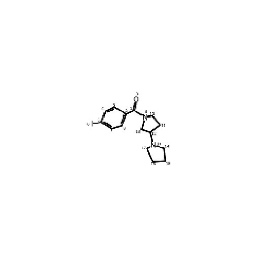 O=C(c1ccc(I)cc1)N1CCC(N2CCCC2)C1